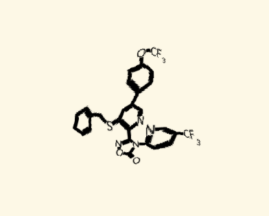 O=c1onc(-c2ncc(-c3ccc(OC(F)(F)F)cc3)cc2SCc2ccccc2)n1-c1ccc(C(F)(F)F)cn1